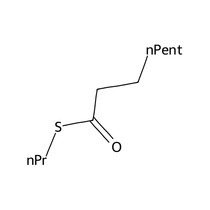 [CH2]CCSC(=O)CCCCCCC